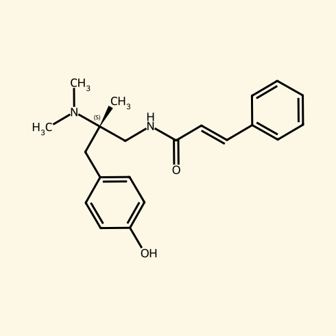 CN(C)[C@](C)(CNC(=O)C=Cc1ccccc1)Cc1ccc(O)cc1